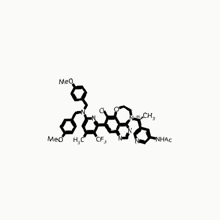 COc1ccc(CN(Cc2ccc(OC)cc2)c2cc(C)c(C(F)(F)F)c(-c3cc4ncnc5c4c(c3Cl)OCCN5[C@H](C)c3cncc(NC(C)=O)c3)n2)cc1